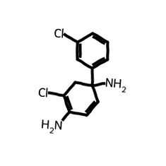 NC1=C(Cl)CC(N)(c2cccc(Cl)c2)C=C1